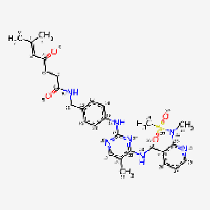 CC(C)=CC(=O)CCC(=O)NCc1ccc(Nc2ncc(C)c(NCc3cccnc3N(C)S(C)(=O)=O)n2)cc1